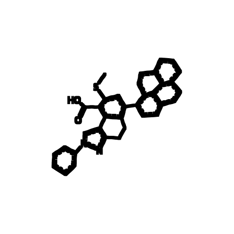 CSc1cc(-c2ccc3ccc4cccc5ccc2c3c45)c2c(c1C(=O)O)-c1cn(-c3ccccc3)nc1CC2